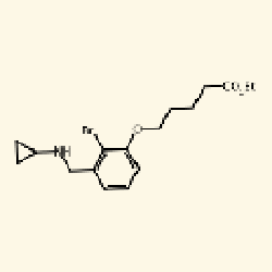 CCOC(=O)CCCCOc1cccc(CNC2CC2)c1Br